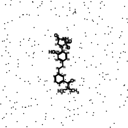 CN(C)C(=O)c1cccc(CCc2ccc(N3CC(=O)NS3(=O)=O)c(O)c2)c1